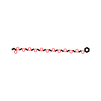 C=CC(=O)OCCOCCOCCOCCOCCOCCOCCOCCOCCOCCOCCOc1ccccc1